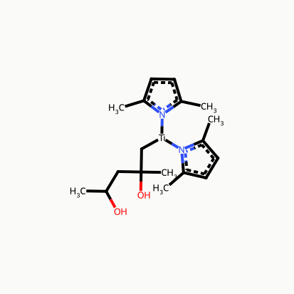 Cc1ccc(C)[n]1[Ti]([CH2]C(C)(O)CC(C)O)[n]1c(C)ccc1C